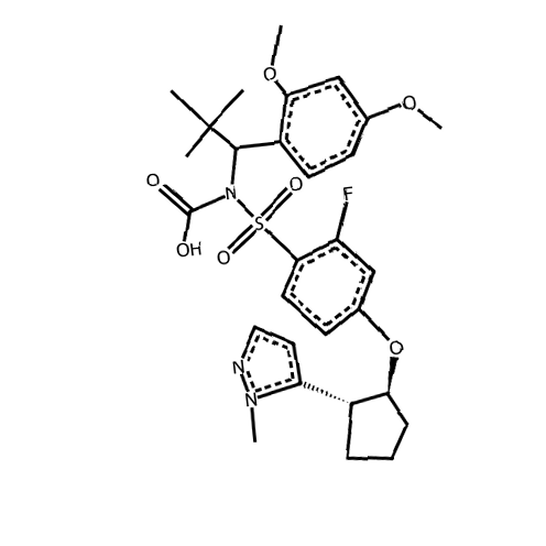 COc1ccc(C(N(C(=O)O)S(=O)(=O)c2ccc(O[C@H]3CCC[C@@H]3c3ccnn3C)cc2F)C(C)(C)C)c(OC)c1